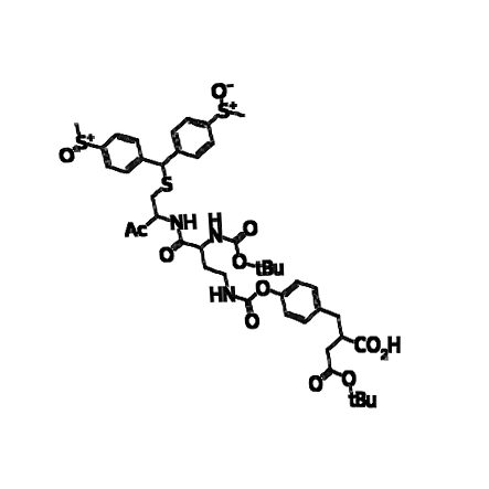 CC(=O)C(CSC(c1ccc([S+](C)[O-])cc1)c1ccc([S+](C)[O-])cc1)NC(=O)C(CCNC(=O)Oc1ccc(CC(CC(=O)OC(C)(C)C)C(=O)O)cc1)NC(=O)OC(C)(C)C